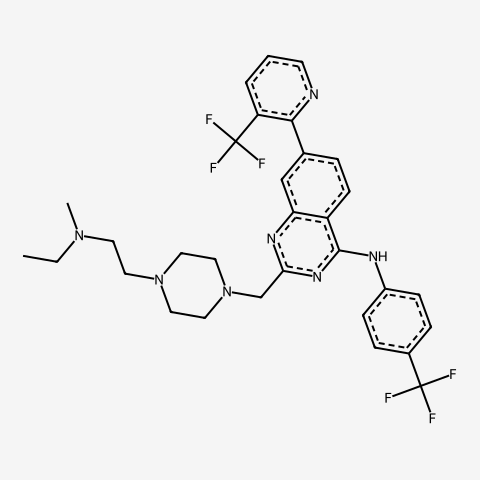 CCN(C)CCN1CCN(Cc2nc(Nc3ccc(C(F)(F)F)cc3)c3ccc(-c4ncccc4C(F)(F)F)cc3n2)CC1